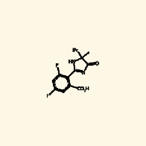 CC(C)C1(C)NC(c2c(F)cc(F)cc2C(=O)O)=NC1=O